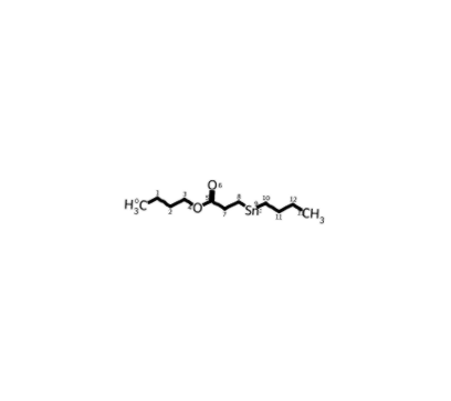 CCCCOC(=O)C[CH2][Sn][CH2]CCC